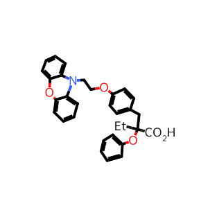 CCC(Cc1ccc(OCCN2c3ccccc3Oc3ccccc32)cc1)(Oc1ccccc1)C(=O)O